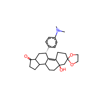 CN(C)c1ccc([C@H]2CC3C(=O)CCC3C3CC[C@@]4(O)CC5(CCC4=C32)OCCO5)cc1